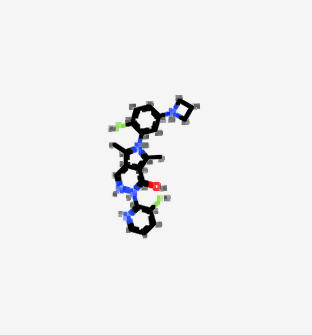 Cc1c2cnn(-c3ncccc3F)c(=O)c2c(C)n1-c1cc(N2CCC2)ccc1F